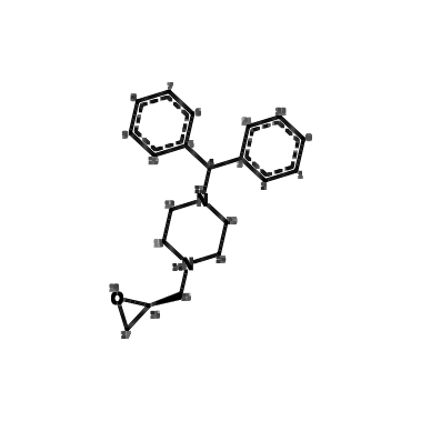 c1ccc(C(c2ccccc2)N2CCN(C[C@H]3CO3)CC2)cc1